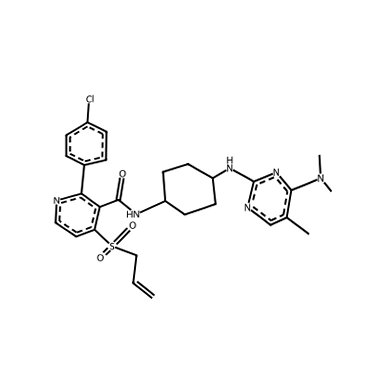 C=CCS(=O)(=O)c1ccnc(-c2ccc(Cl)cc2)c1C(=O)NC1CCC(Nc2ncc(C)c(N(C)C)n2)CC1